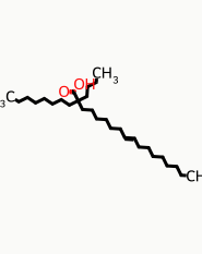 CCCCCCCCC=CCCCCCCC(CCCC)(CCCCCCCC)C(=O)O